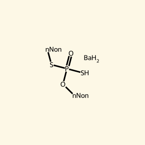 CCCCCCCCCOP(=O)(S)SCCCCCCCCC.[BaH2]